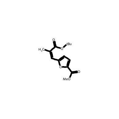 COC(=O)c1ccc(C=C(C)C(=O)OC(C)(C)C)o1